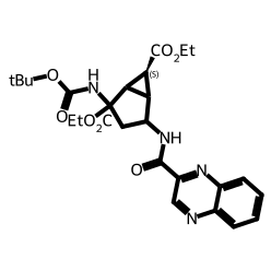 CCOC(=O)[C@H]1C2C(NC(=O)c3cnc4ccccc4n3)CC(NC(=O)OC(C)(C)C)(C(=O)OCC)C21